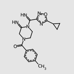 Cc1ccc(C(=O)N2CCN(C(=N)c3noc(C4CC4)n3)C(=N)C2)cc1